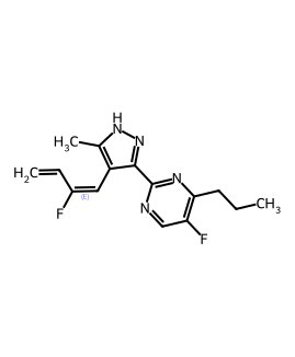 C=C/C(F)=C\c1c(-c2ncc(F)c(CCC)n2)n[nH]c1C